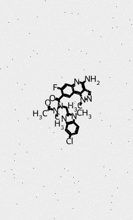 CC(=O)N(C)N(Cc1nc2cc(Cl)ccc2n1C)C(=O)c1cc2c(cc1F)nc(N)c1cnn(C)c12